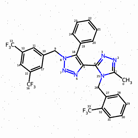 Cc1nnc(-c2nnn(Cc3cc(C(F)(F)F)cc(C(F)(F)F)c3)c2-c2ccccc2)n1Cc1ccccc1C(F)(F)F